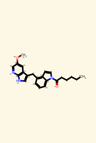 CCCCCC(=O)n1ccc2c(Cc3c[nH]c4ncc(OC)cc34)cccc21